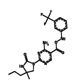 CCCC1(C)CN(c2ncc(C(=O)ONc3cccc(C(F)(F)F)c3)c(N)n2)C(=O)N1